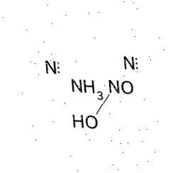 N.O=NO.[N].[N]